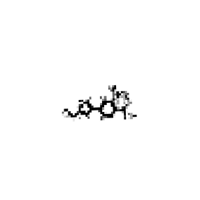 O=Cc1cc(-c2ccc(C(=O)O)c([N+](=O)[O-])c2)cs1